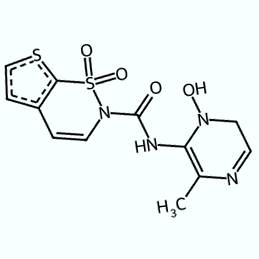 CC1=C(NC(=O)N2C=Cc3ccsc3S2(=O)=O)N(O)CC=N1